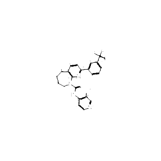 O=C(Nc1ccncc1F)N1CCCCc2ccc(-c3cccc(C(F)(F)F)c3)nc21